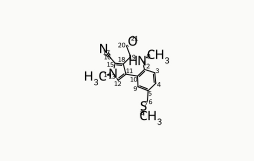 CNc1ccc(CSC)cc1-c1cn(C)c(C#N)c1CC=O